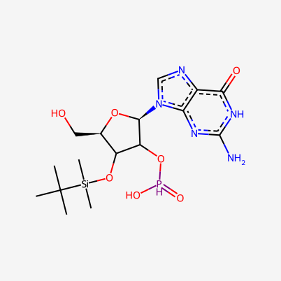 CC(C)(C)[Si](C)(C)OC1C(O[PH](=O)O)[C@H](n2cnc3c(=O)[nH]c(N)nc32)O[C@@H]1CO